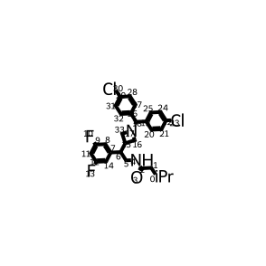 CC(C)CC(=O)NCC(c1cc(F)cc(F)c1)C1CN(C(c2ccc(Cl)cc2)c2ccc(Cl)cc2)C1